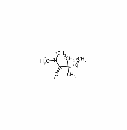 C=NC(C)(C)C(=O)N(C)C